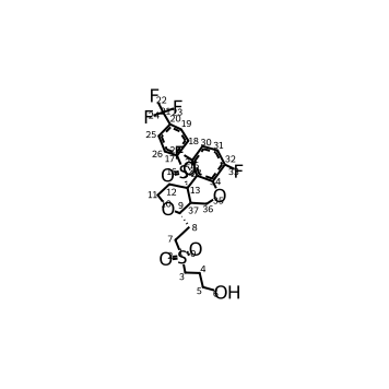 O=S(=O)(CCCO)CC[C@@H]1OCC[C@@]2(S(=O)(=O)c3ccc(C(F)(F)F)cc3)c3c(F)ccc(F)c3OCC12